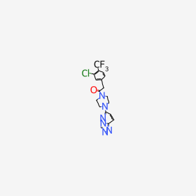 O=C(Cc1ccc(C(F)(F)F)c(Cl)c1)N1CCN(c2ccc3nncn3n2)CC1